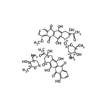 CC(=O)[C@]1(O)Cc2c(O)c3c(c(O)c2[C@@H](O[C@H]2C[C@H](N)[C@H](O)[C@H](C)O2)C1)C(=O)c1c(O)cccc1C3=O.COc1cccc2c1C(=O)c1c(O)c3c(c(O)c1C2=O)C[C@@](O)(C(C)=O)C[C@@H]3O[C@H]1C[C@H](N)[C@H](O)[C@H](C)O1